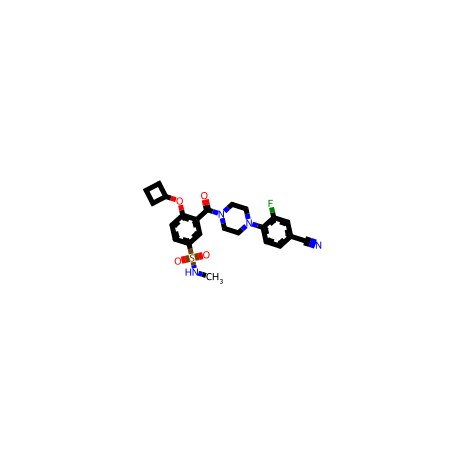 CNS(=O)(=O)c1ccc(OC2CCC2)c(C(=O)N2CCN(c3ccc(C#N)cc3F)CC2)c1